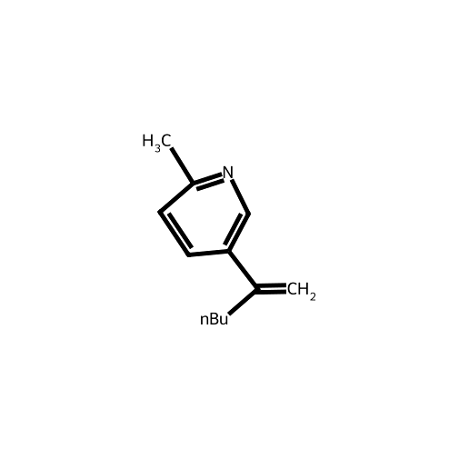 C=C(CCCC)c1ccc(C)nc1